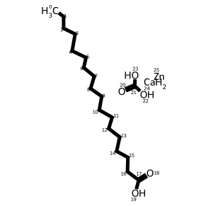 CCCCCCCCCCCCCCCCCC(=O)O.O=C(O)O.[CaH2].[Zn]